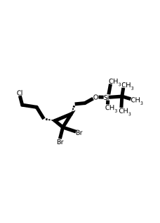 CC(C)(C)[Si](C)(C)OCC[C@H]1[C@@H](CCCCl)C1(Br)Br